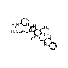 CC=CCn1c(N2CCCC(N)C2)nc2c(C)c(C)n(CC3=Nc4ccccc4CC3)c(=O)c21